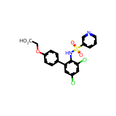 O=C(O)COc1ccc(-c2cc(Cl)cc(Cl)c2NS(=O)(=O)c2cccnc2)cc1